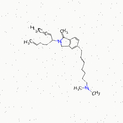 C=C=CC(CCC=C)N1Cc2cc(CCCCCCCN(C)C)ccc2C1=C